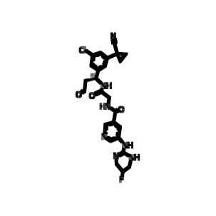 N#CC1(c2cc(Cl)cc([C@H](CC=O)NC(=O)CNC(=O)c3cncc(NC4=NCC(F)CN4)c3)c2)CC1